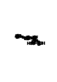 Cc1c(CCCC(=O)O)c2c(F)ccc(/C=C/c3ccc(OC/C=C/COc4ccccc4)cc3)c2n1CC(=O)O